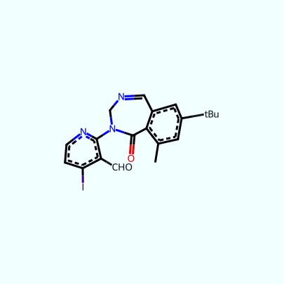 Cc1cc(C(C)(C)C)cc2c1C(=O)N(c1nccc(I)c1C=O)CN=C2